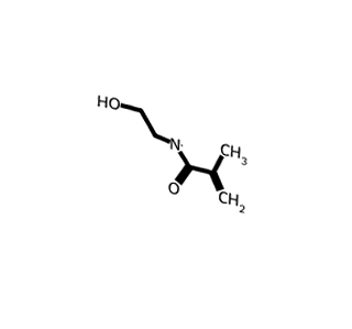 C=C(C)C(=O)[N]CCO